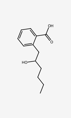 CCCCC(O)Cc1ccccc1C(=O)O